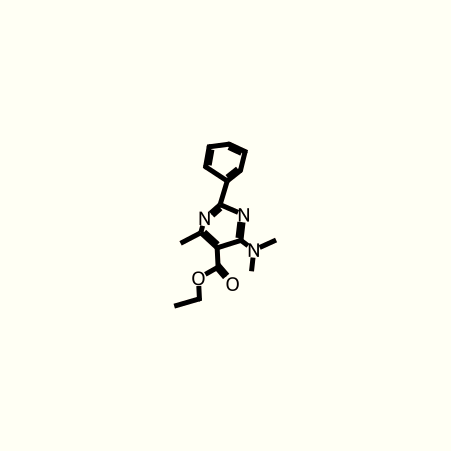 CCOC(=O)c1c(C)nc(-c2ccccc2)nc1N(C)C